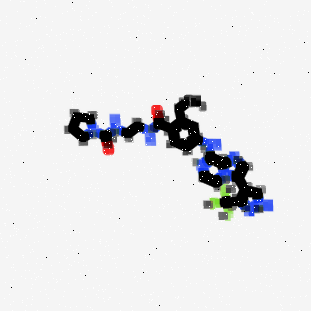 CCc1cc(Nc2nccn3c(-c4c[nH]nc4C(F)(F)F)cnc23)ccc1C(=O)NCCNC(=O)N1CCCC1